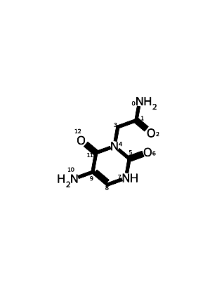 NC(=O)Cn1c(=O)[nH]cc(N)c1=O